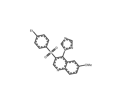 CCc1ccc(S(=O)(=O)c2cnc3ccc(OC)cc3c2-n2cncn2)cc1